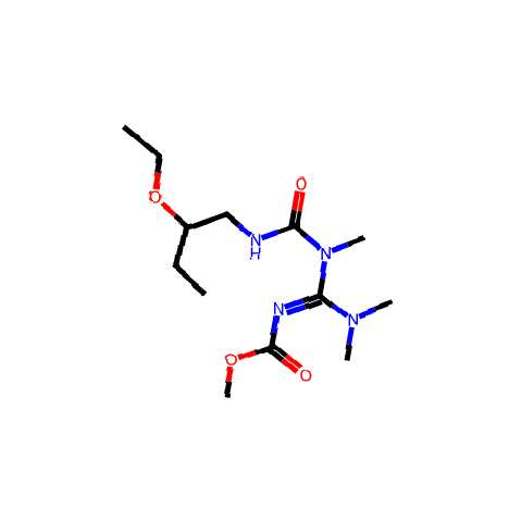 CCOC(CC)CNC(=O)N(C)C(=NC(=O)OC)N(C)C